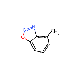 [CH2]c1cccc2onnc12